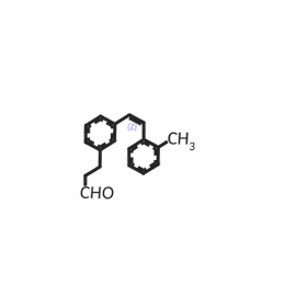 Cc1ccccc1/C=C\c1cccc(CCC=O)c1